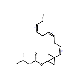 CC/C=C\C/C=C\C/C=C\C12CC1(OC(=O)OC(C)C)C2